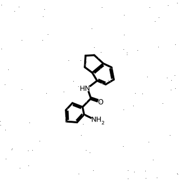 Nc1ccccc1C(=O)Nc1cccc2c1CCC2